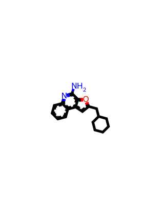 Nc1nc2ccccc2c2cc(CC3CCCCC3)oc12